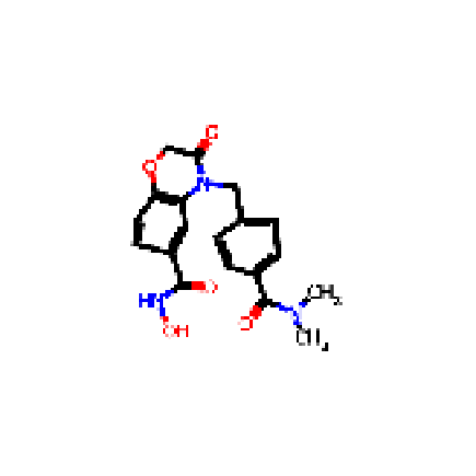 CN(C)C(=O)c1ccc(CN2C(=O)COc3ccc(C(=O)NO)cc32)cc1